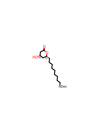 CCCCCCCCCCCCCCCCCCC[C@H]1C[C@@H](O)CC(=O)O1